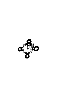 C1=CC2=C(C=CC1)c1nc2nc2c3ccccc3c(nc3nc(nc4[nH]c(n1)c1ccccc41)-c1ccccc1-3)NC2